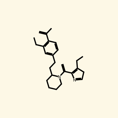 C=C(C)c1ccc(CCC2CCCCN2C(=C)C2=C(CC)CC=N2)cc1CC